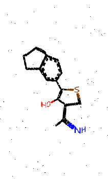 CC(=N)C1CSC(c2ccc3c(c2)CCC3)=C1O